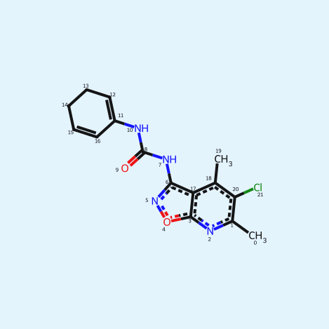 Cc1nc2onc(NC(=O)NC3=CCCC=C3)c2c(C)c1Cl